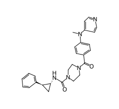 CN(c1ccncc1)c1ccc(C(=O)N2CCN(C(=O)N[C@@H]3C[C@H]3c3ccccc3)CC2)cc1